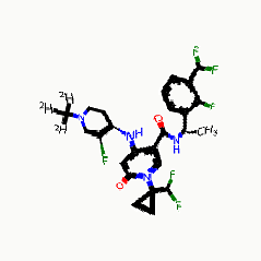 [2H]C([2H])([2H])N1CC[C@@H](Nc2cc(=O)n(C3(C(F)F)CC3)cc2C(=O)N[C@H](C)c2cccc(C(F)F)c2F)[C@@H](F)C1